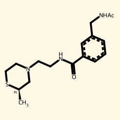 CC(=O)NCc1cccc(C(=O)NCCN2CCS[C@H](C)C2)c1